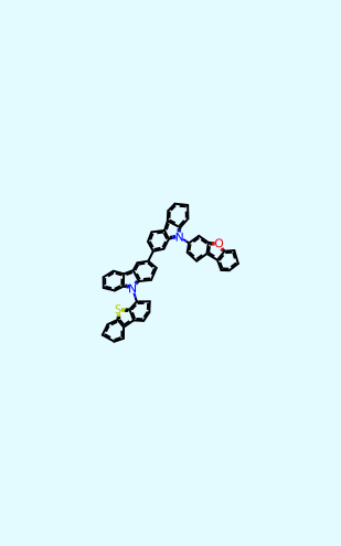 c1ccc2c(c1)oc1cc(-n3c4ccccc4c4ccc(-c5ccc6c(c5)c5ccccc5n6-c5cccc6c5sc5ccccc56)cc43)ccc12